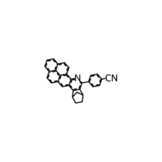 N#Cc1ccc(-c2nc3c(cc4ccc5cccc6ccc3c4c56)c3c2C2CCC3C2)cc1